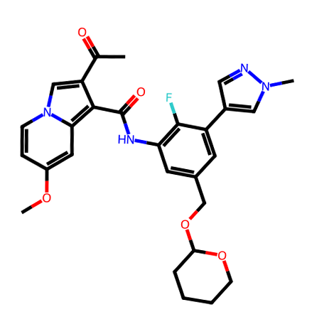 COc1ccn2cc(C(C)=O)c(C(=O)Nc3cc(COC4CCCCO4)cc(-c4cnn(C)c4)c3F)c2c1